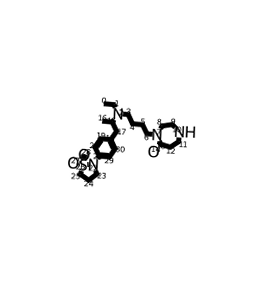 CCN(CCCCN1CCNCCC1=O)C(C)Cc1ccc(N2CCCS2(=O)=O)cc1